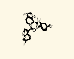 O=C(c1cnn2cc(F)ccc12)N1CCc2[nH]cnc2[C@H]1c1nc2ccc(Br)cc2[nH]1